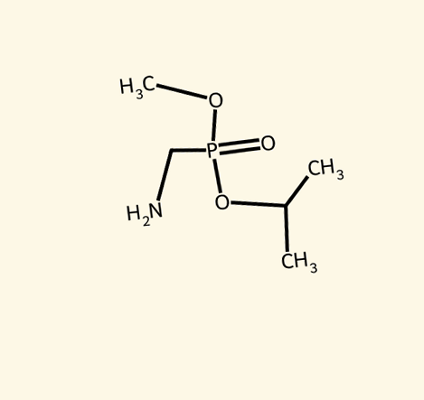 COP(=O)(CN)OC(C)C